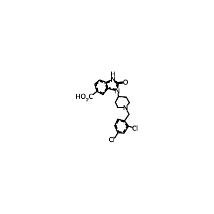 O=C(O)c1ccc2[nH]c(=O)n(C3CCN(Cc4ccc(Cl)cc4Cl)CC3)c2c1